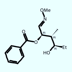 CC[C@@H](O)[C@@H](C)[C@H](C=NOC)OC(=O)c1ccccc1